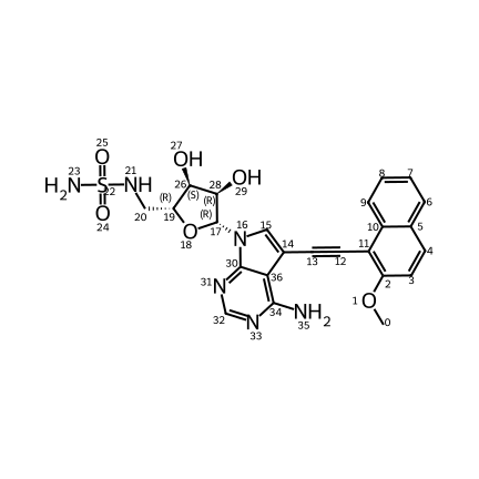 COc1ccc2ccccc2c1C#Cc1cn([C@@H]2O[C@H](CNS(N)(=O)=O)[C@@H](O)[C@H]2O)c2ncnc(N)c12